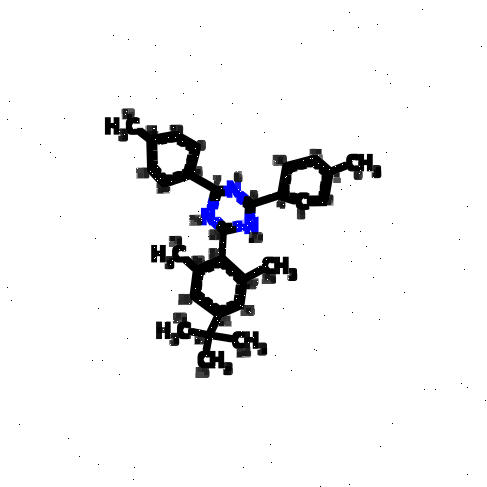 Cc1ccc(-c2nc(-c3ccc(C)cc3)nc(-c3c(C)cc(C(C)(C)C)cc3C)n2)cc1